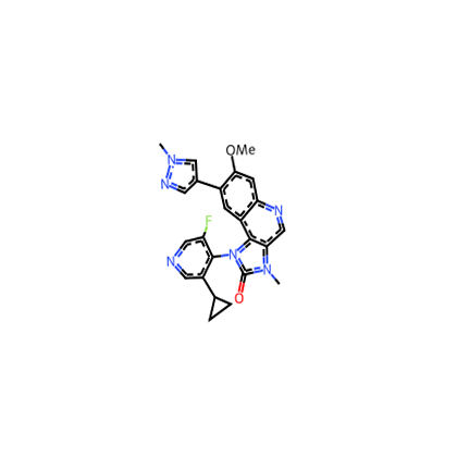 COc1cc2ncc3c(c2cc1-c1cnn(C)c1)n(-c1c(F)cncc1C1CC1)c(=O)n3C